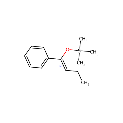 CC/C=C(\O[Si](C)(C)C)c1ccccc1